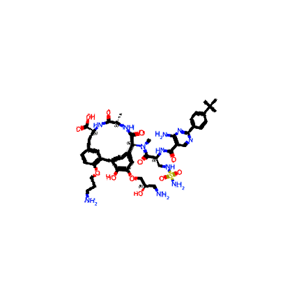 C[C@@H]1NC(=O)[C@@H](N(C)C(=O)[C@H](CNS(N)(=O)=O)NC(=O)c2cnc(-c3ccc(C(C)(C)C)cc3)nc2N)c2cc(OC[C@H](O)CN)c(O)c(c2)-c2cc(ccc2OCCCN)C[C@@H](C(=O)O)NC1=O